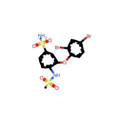 CS(=O)(=O)Nc1ccc(S(N)(=O)=O)cc1Oc1ccc(Br)cc1Br